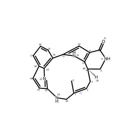 C/C1=C\C[C@@H]2CNC(=O)c3cc([nH]c32)-c2cccc3ccc(nc23)NC1